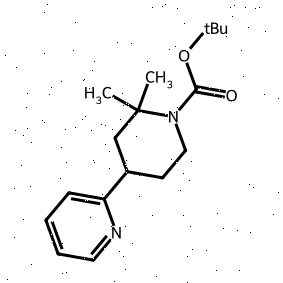 CC(C)(C)OC(=O)N1CCC(c2ccccn2)CC1(C)C